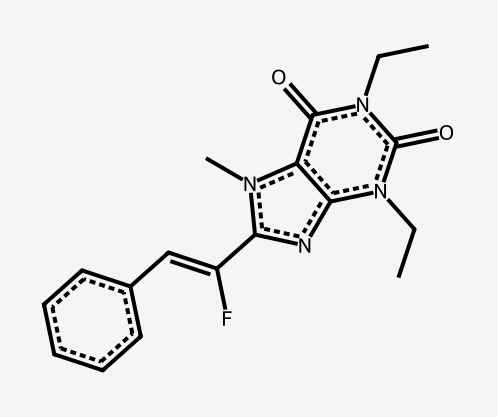 CCn1c(=O)c2c(nc(C(F)=Cc3ccccc3)n2C)n(CC)c1=O